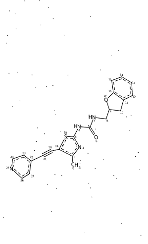 Cc1nc(NC(=O)NCC2Cc3ccccc3O2)sc1C#Cc1ccncc1